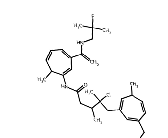 C=C(NCC(C)(C)F)C1=CC=CC(C)C(NC(=O)CC(C)C(C)(Cl)CC2=CC(C)C=CC(CC)=C2)=C1